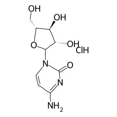 Cl.Nc1ccn(C2O[C@H](CO)[C@@H](O)[C@@H]2O)c(=O)n1